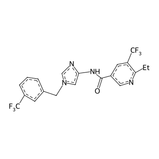 CCc1ncc(C(=O)Nc2cn(Cc3cccc(C(F)(F)F)c3)cn2)cc1C(F)(F)F